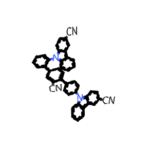 N#CC1=CC(c2ccccc2-n2c3ccccc3c3cc(C#N)ccc32)CC=C1c1ccc(-n2c3ccccc3c3cc(C#N)ccc32)cc1